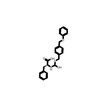 O=C(O)[C@H](Cc1ccccc1)NC(O)OCc1ccc(COc2ccccc2)cc1